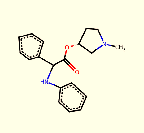 CN1CC[C@@H](OC(=O)C(Nc2ccccc2)c2ccccc2)C1